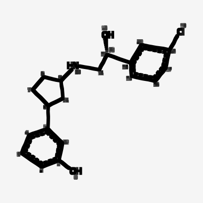 Oc1cccc(C2CCC(NC[C@H](O)c3cccc(Cl)c3)C2)c1